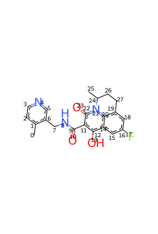 Cc1ccncc1CNC(=O)c1c(O)c2cc(F)cc3c2n(c1=O)C(C)CC3